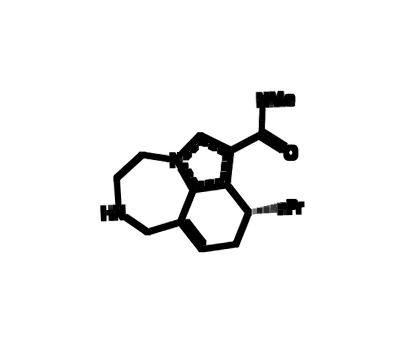 CCC[C@@H]1CC=C2CNCCn3cc(C(=O)NC)c1c32